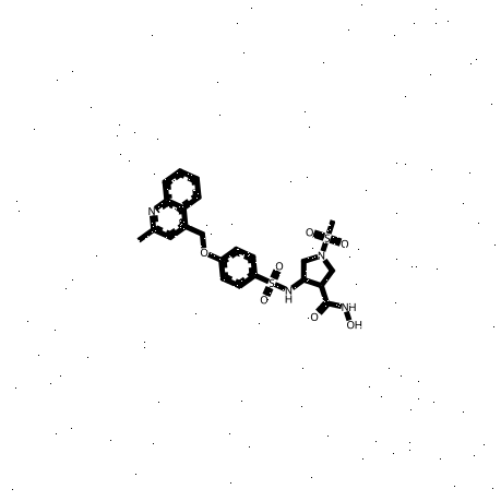 Cc1cc(COc2ccc(S(=O)(=O)NC3CN(S(C)(=O)=O)CC3C(=O)NO)cc2)c2ccccc2n1